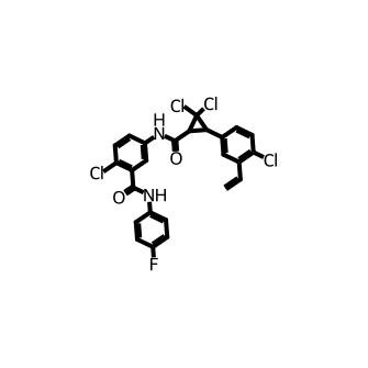 C=Cc1cc(C2C(C(=O)Nc3ccc(Cl)c(C(=O)Nc4ccc(F)cc4)c3)C2(Cl)Cl)ccc1Cl